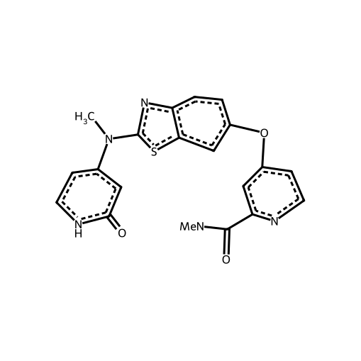 CNC(=O)c1cc(Oc2ccc3nc(N(C)c4cc[nH]c(=O)c4)sc3c2)ccn1